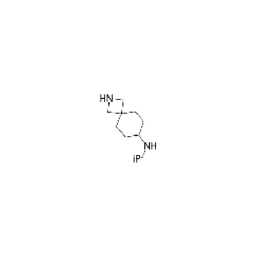 CC(C)NC1CCC2(CC1)CNC2